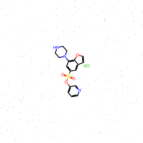 Cl.O=S(=O)(Oc1cccnc1)c1cc(N2CCNCC2)c2occc2c1